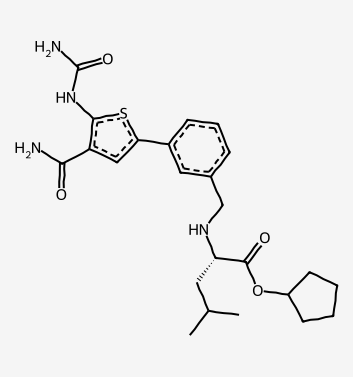 CC(C)C[C@H](NCc1cccc(-c2cc(C(N)=O)c(NC(N)=O)s2)c1)C(=O)OC1CCCC1